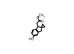 COC(=O)CC1c2ccc(O)cc2CC12CC2